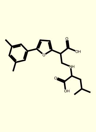 Cc1cc(C)cc(-c2ccc(C(CNC(CC(C)C)C(=O)O)C(=O)O)o2)c1